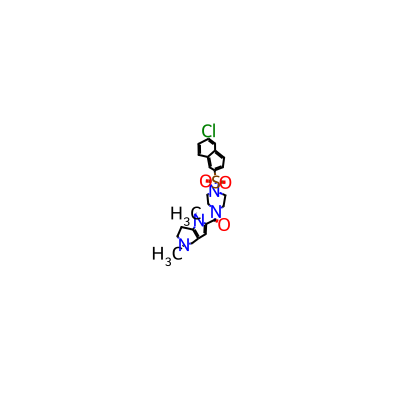 CN1CCc2c(cc(C(=O)N3CCN(S(=O)(=O)c4ccc5cc(Cl)ccc5c4)CC3)n2C)C1